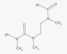 CC(C)C(=O)N(C)CCN(C)C(=O)N(C)C(C)C